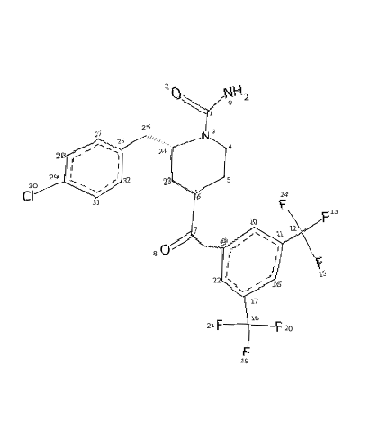 NC(=O)N1CC[C](C(=O)c2cc(C(F)(F)F)cc(C(F)(F)F)c2)C[C@@H]1Cc1ccc(Cl)cc1